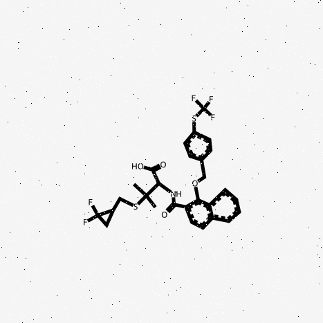 CC(C)(SCC1CC1(F)F)C(NC(=O)c1ccc2ccccc2c1OCc1ccc(SC(F)(F)F)cc1)C(=O)O